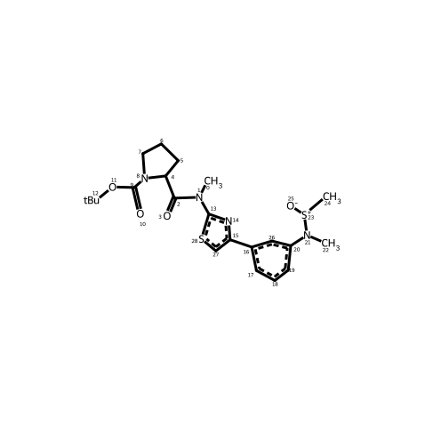 CN(C(=O)C1CCCN1C(=O)OC(C)(C)C)c1nc(-c2cccc(N(C)[S+](C)[O-])c2)cs1